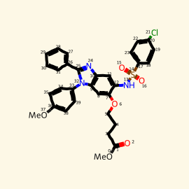 COC(=O)CCCOc1cc2c(cc1NS(=O)(=O)c1ccc(Cl)cc1)nc(-c1ccccc1)n2-c1ccc(OC)cc1